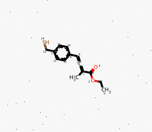 CCOC(=O)C(C)=C=Cc1ccc(CS)cc1